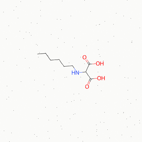 CCCCCCNC(C(=O)O)C(=O)O